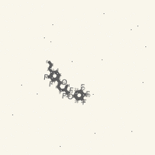 CCCc1ccc(C2CCC(C(F)(F)Oc3cc(F)c(F)c(F)c3)CO2)c(F)c1F